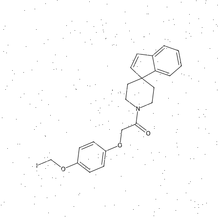 O=C(COc1ccc(OCI)cc1)N1CCC2(C=Cc3ccccc32)CC1